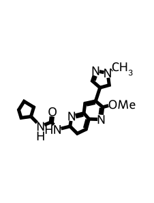 COc1nc2c(cc1C1C=NN(C)C1)=NC(NC(=O)NC1CCCC1)CC=2